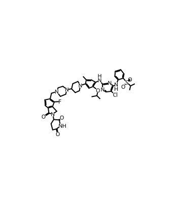 Cc1cc(Nc2ncc(Cl)c(Nc3ccccc3S(=O)(=O)C(C)C)n2)c(OC(C)C)cc1N1CCC(N2CCN(Cc3ccc4c(c3F)CN(C3CCC(=O)NC3=O)C4=O)CC2)CC1